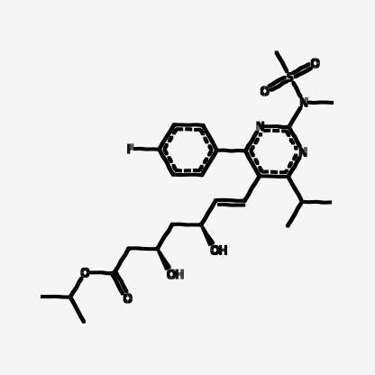 CC(C)OC(=O)C[C@H](O)C[C@H](O)/C=C/c1c(-c2ccc(F)cc2)nc(N(C)S(C)(=O)=O)nc1C(C)C